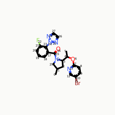 CC1CC(C(C)Oc2ccc(Br)cn2)N(C(=O)c2cccc(F)c2-n2nccn2)C1